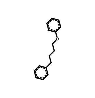 [c]1ccccc1OCCCCc1ccccc1